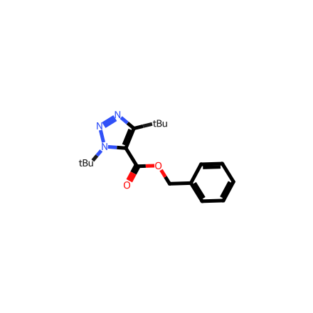 CC(C)(C)c1nnn(C(C)(C)C)c1C(=O)OCc1ccccc1